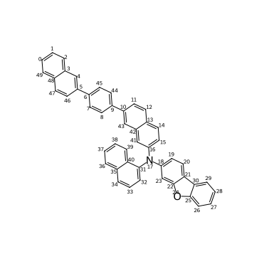 c1ccc2cc(-c3ccc(-c4ccc5ccc(N(c6ccc7c(c6)oc6ccccc67)c6cccc7ccccc67)cc5c4)cc3)ccc2c1